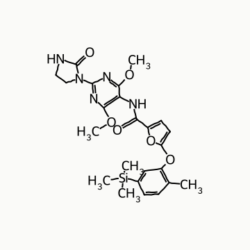 COc1nc(N2CCNC2=O)nc(OC)c1NC(=O)c1ccc(Oc2cc([Si](C)(C)C)ccc2C)o1